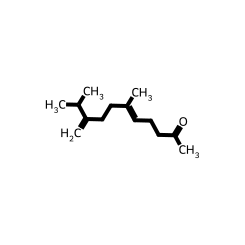 C=C(CCC(C)=CCCC(C)=O)C(C)C